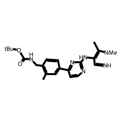 CN/C(C)=C(\C=N)Nc1nccc(-c2ccc(CNC(=O)OC(C)(C)C)c(C)c2)n1